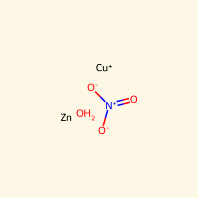 O.O=[N+]([O-])[O-].[Cu+].[Zn]